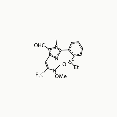 CC[S+]([O-])c1ccccc1-c1nc(/C=C(\N(C)OC)C(F)(F)F)c(C=O)n1C